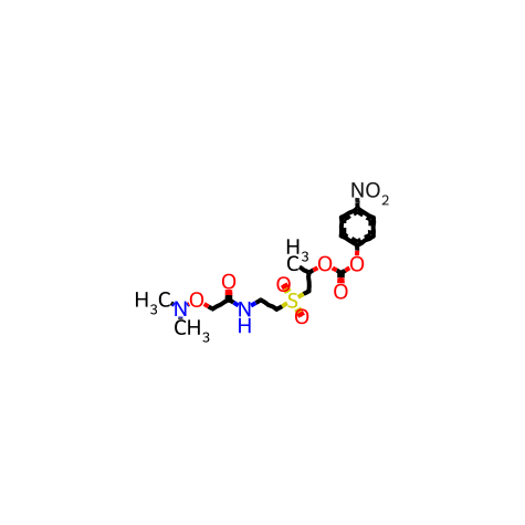 CC(CS(=O)(=O)CCNC(=O)CON(C)C)OC(=O)Oc1ccc([N+](=O)[O-])cc1